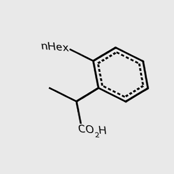 CCCCCCc1ccccc1C(C)C(=O)O